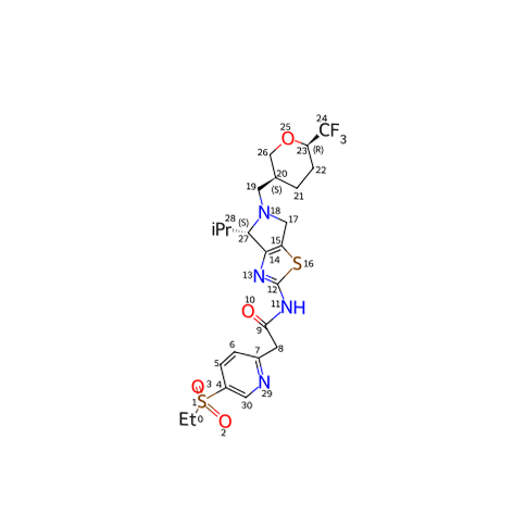 CCS(=O)(=O)c1ccc(CC(=O)Nc2nc3c(s2)CN(C[C@@H]2CC[C@H](C(F)(F)F)OC2)[C@H]3C(C)C)nc1